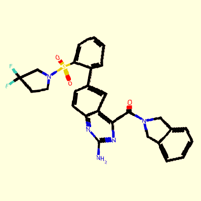 Nc1nc(C(=O)N2Cc3ccccc3C2)c2cc(-c3ccccc3S(=O)(=O)N3CCC(F)(F)C3)ccc2n1